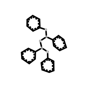 c1ccc(OB(OB(Oc2ccccc2)c2ccccc2)c2ccccc2)cc1